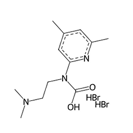 Br.Br.Cc1cc(C)nc(N(CCN(C)C)C(=O)O)c1